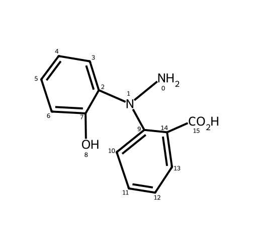 NN(c1ccccc1O)c1ccccc1C(=O)O